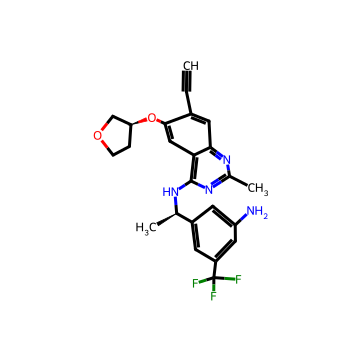 C#Cc1cc2nc(C)nc(N[C@H](C)c3cc(N)cc(C(F)(F)F)c3)c2cc1O[C@H]1CCOC1